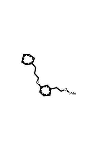 CSOCCc1cccc(OCCCc2ccccc2)c1